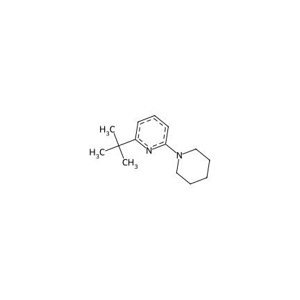 CC(C)(C)c1cccc(N2CCCCC2)n1